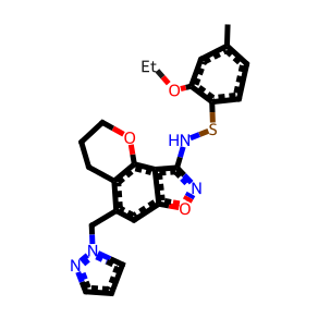 CCOc1cc(C)ccc1SNc1noc2cc(Cn3cccn3)c3c(c12)OCCC3